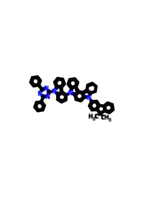 CC1(C)c2ccccc2-c2cc(-n3c4c(c5c6c7ccccc7n(-c7cccc8c7c7ccccc7n8-c7nc(-c8ccccc8)nc(-c8ccccc8)n7)c6ccc53)C=CCC4)ccc21